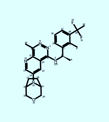 Cc1c([C@@H](C)Nc2nnc(C)c3ncc(N4C5CCC4COC5)cc23)cccc1C(C)(F)F